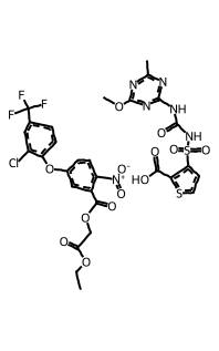 CCOC(=O)COC(=O)c1cc(Oc2ccc(C(F)(F)F)cc2Cl)ccc1[N+](=O)[O-].COc1nc(C)nc(NC(=O)NS(=O)(=O)c2ccsc2C(=O)O)n1